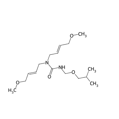 COC/C=C/CN(C/C=C/COC)C(=O)NCOCC(C)C